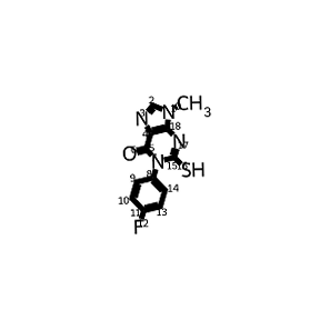 Cn1cnc2c(=O)n(-c3ccc(F)cc3)c(S)nc21